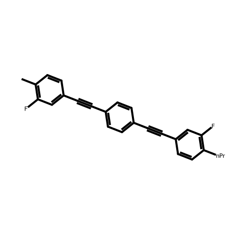 CCCc1ccc(C#Cc2ccc(C#Cc3ccc(C)c(F)c3)cc2)cc1F